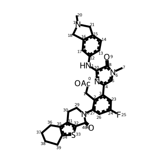 CC(=O)OCc1c(-c2cn(C)c(=O)c(Nc3ccc4c(c3)CN(C)C4)n2)cc(F)cc1N1CCc2c(sc3c2CCCC3)C1=O